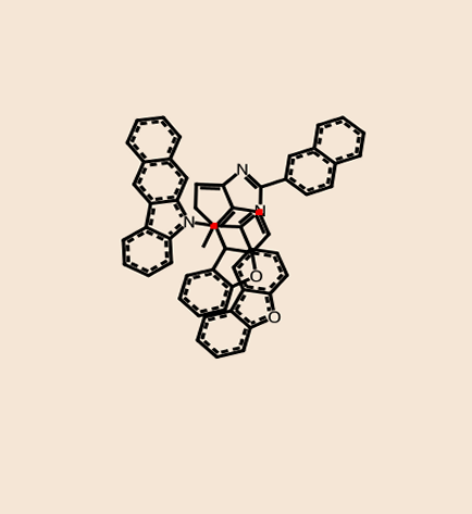 CC1C/C=C(C2=C(n3c4ccccc4c4cc5ccccc5cc43)C3c4ccccc4OC3C=C2)/N=C(c2ccc3ccccc3c2)\N=C/1c1ccc2oc3ccccc3c2c1